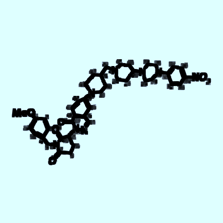 COc1ccc(CN2C(=O)CCC(n3ncc4cc(N5CCC(CN6CCC(N7CCN(c8ccc([N+](=O)[O-])cc8)CC7)CC6)CC5)ccc4c3=O)C2=O)cc1